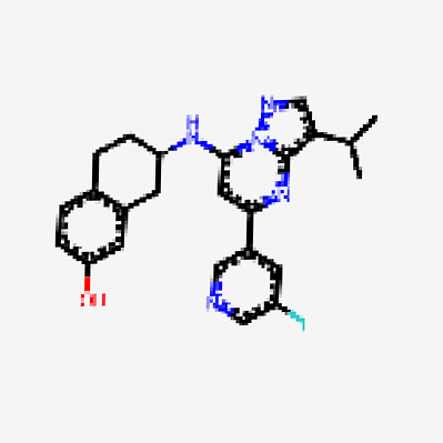 CC(C)c1cnn2c(N[C@@H]3CCc4ccc(O)cc4C3)cc(-c3cncc(F)c3)nc12